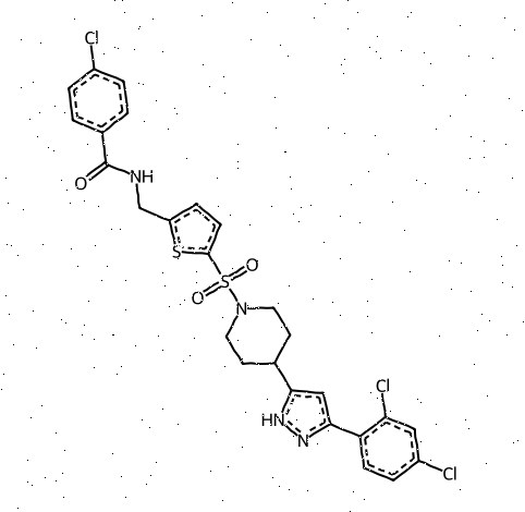 O=C(NCc1ccc(S(=O)(=O)N2CCC(c3cc(-c4ccc(Cl)cc4Cl)n[nH]3)CC2)s1)c1ccc(Cl)cc1